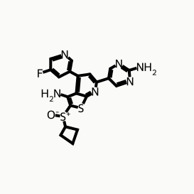 Nc1ncc(-c2cc(-c3cncc(F)c3)c3c(N)c([S+]([O-])C4CCC4)sc3n2)cn1